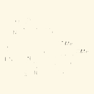 COc1cccc(C2c3nsc(n3)NCCNS(=O)(=O)c3ccc(OC)c2c3)c1